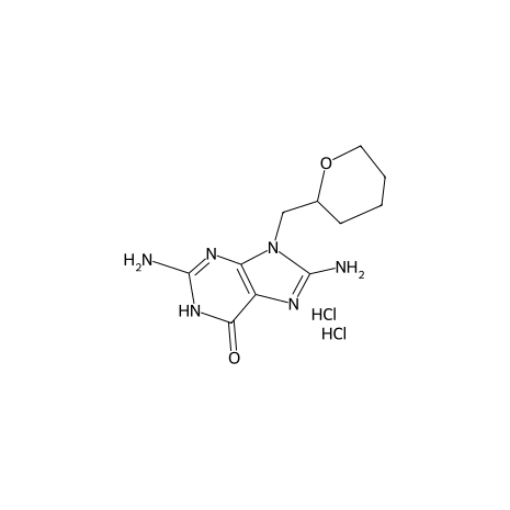 Cl.Cl.Nc1nc2c(nc(N)n2CC2CCCCO2)c(=O)[nH]1